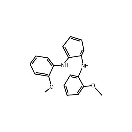 COc1ccccc1Nc1ccccc1Nc1ccccc1OC